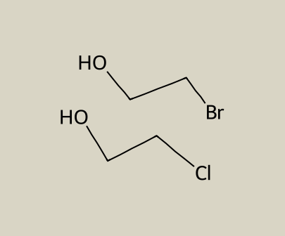 OCCBr.OCCCl